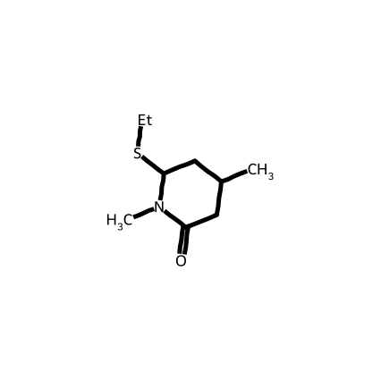 CCSC1CC(C)CC(=O)N1C